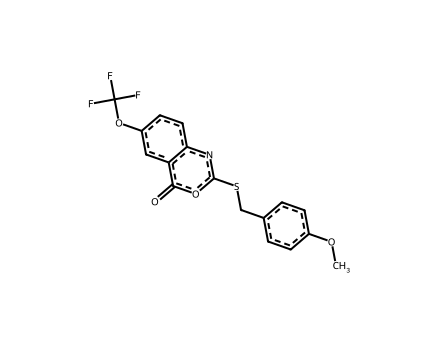 COc1ccc(CSc2nc3ccc(OC(F)(F)F)cc3c(=O)o2)cc1